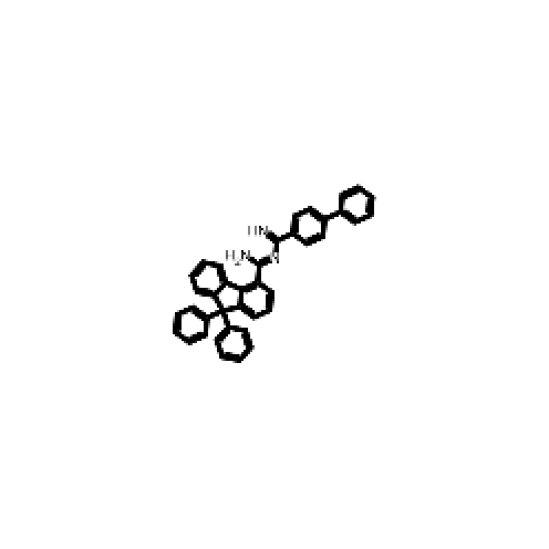 N=C(/N=C(\N)c1cccc2c1-c1ccccc1C2(c1ccccc1)c1ccccc1)c1ccc(-c2ccccc2)cc1